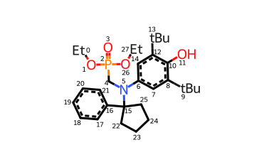 CCOP(=O)(CN(c1cc(C(C)(C)C)c(O)c(C(C)(C)C)c1)C1(c2ccccc2)CCCC1)OCC